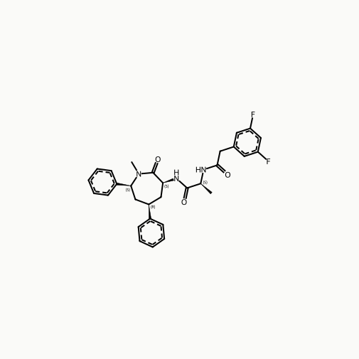 C[C@H](NC(=O)Cc1cc(F)cc(F)c1)C(=O)N[C@H]1C[C@@H](c2ccccc2)C[C@@H](c2ccccc2)N(C)C1=O